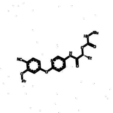 CC[C@@H](OC(=O)NC(C)(C)C)C(=O)Nc1ccc(Oc2ccc(C#N)c(OC(C)C)c2)nc1